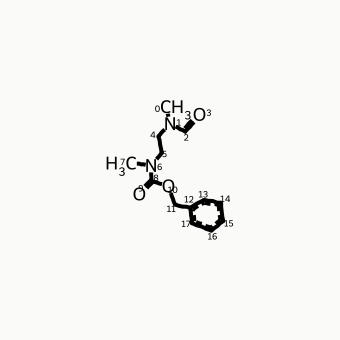 CN(C=O)CCN(C)C(=O)OCc1ccccc1